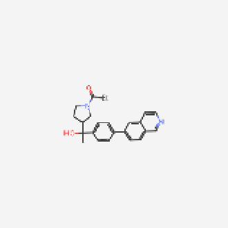 CCC(=O)N1CCC(C(C)(O)c2ccc(-c3ccc4cnccc4c3)cc2)C1